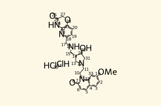 COc1ccc2ccc(=O)n(CCN3C[C@@H](CNCc4ccc5c(n4)NC(=O)CO5)[C@@H](O)C3)c2c1.Cl.Cl